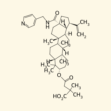 C=C(C)[C@@H]1CC[C@]2(C(=O)NCc3ccncc3)CC[C@]3(C)[C@H](CC[C@@H]4[C@@]5(C)CC[C@H](OC(=O)CC(C)(C)C(=O)O)C(C)(C)[C@@H]5CC[C@]43C)[C@@H]12